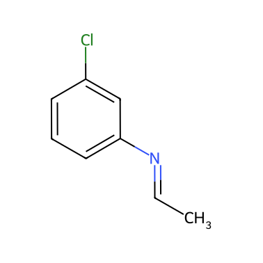 CC=Nc1cccc(Cl)c1